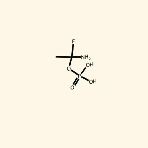 CC(N)(F)OP(=O)(O)O